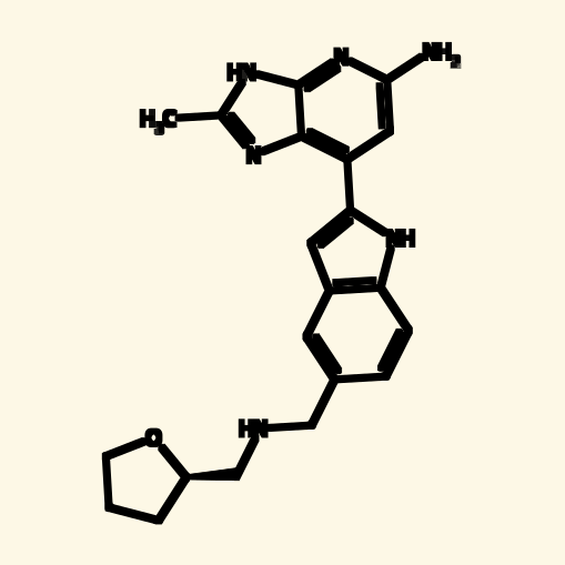 Cc1nc2c(-c3cc4cc(CNC[C@H]5CCCO5)ccc4[nH]3)cc(N)nc2[nH]1